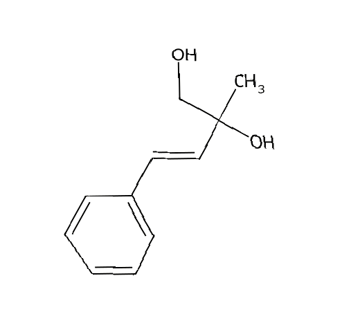 CC(O)(C=Cc1ccccc1)CO